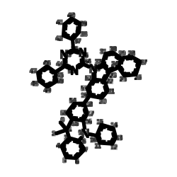 CC1(C)c2ccccc2N(c2ccccc2)c2cc(-c3ccc4c5c6ccccc6ccc5n(-c5nc(-c6ccccc6)nc(-c6ccccc6)n5)c4c3)ccc21